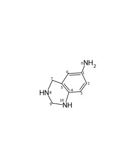 Nc1ccc2c(c1)CNCN2